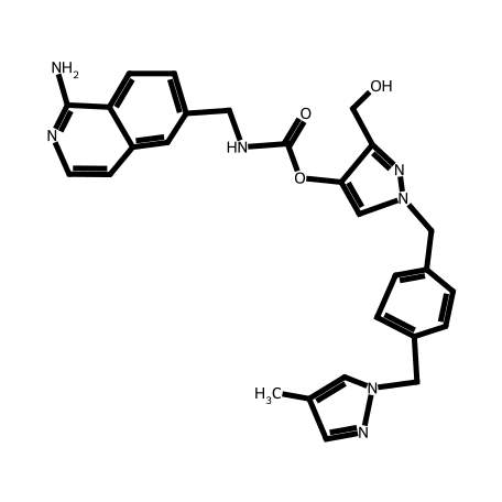 Cc1cnn(Cc2ccc(Cn3cc(OC(=O)NCc4ccc5c(N)nccc5c4)c(CO)n3)cc2)c1